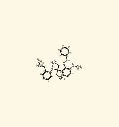 CCC(CC)(Pc1ccccc1CNC)c1cccc(OC)c1OCc1ccccc1